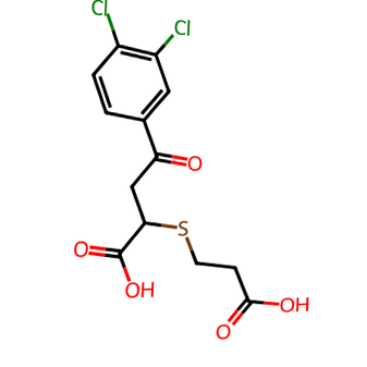 O=C(O)CCSC(CC(=O)c1ccc(Cl)c(Cl)c1)C(=O)O